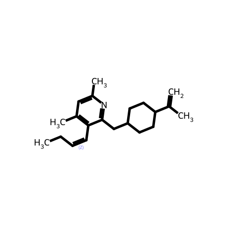 C=C(C)C1CCC(Cc2nc(C)cc(C)c2/C=C\CC)CC1